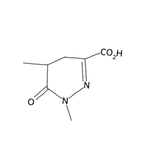 CC1CC(C(=O)O)=NN(C)C1=O